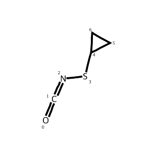 O=C=NSC1CC1